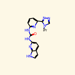 CC(C)n1cnnc1-c1cccc(NC(=O)Nc2ccc3cc[nH]c3n2)n1